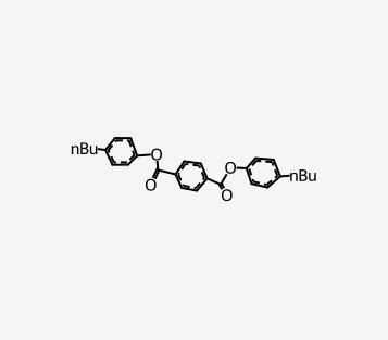 CCCCc1ccc(OC(=O)c2ccc(C(=O)Oc3ccc(CCCC)cc3)cc2)cc1